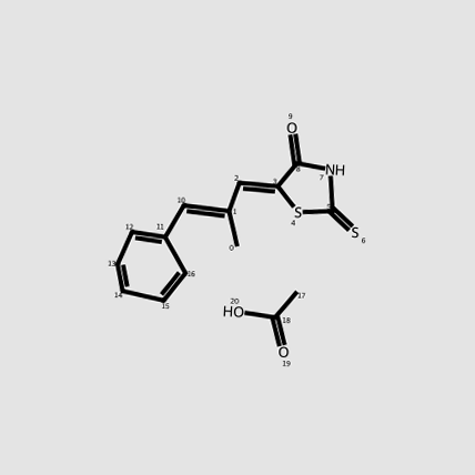 CC(/C=C1\SC(=S)NC1=O)=C\c1ccccc1.CC(=O)O